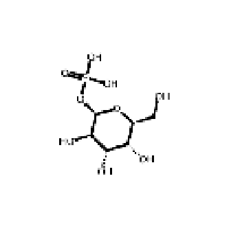 O=P(O)(O)O[C@H]1O[C@@H](CO)[C@H](O)[C@H](O)[C@H]1O